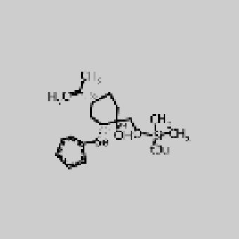 C=C(C)[C@@H]1CC[C@](O)(CO[Si](C)(C)C(C)(C)C)[C@H]([Se]c2ccccc2)C1